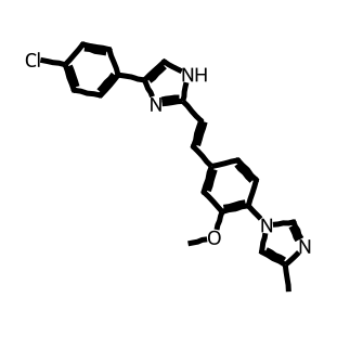 COc1cc(C=Cc2nc(-c3ccc(Cl)cc3)c[nH]2)ccc1-n1cnc(C)c1